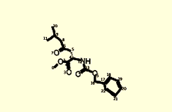 COC(=O)[C@H](CC(=O)CC(C)C)NC(=O)OCc1ccccc1